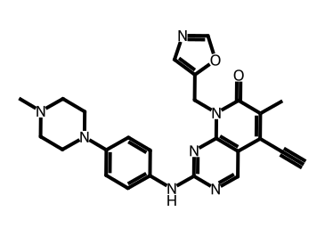 C#Cc1c(C)c(=O)n(Cc2cnco2)c2nc(Nc3ccc(N4CCN(C)CC4)cc3)ncc12